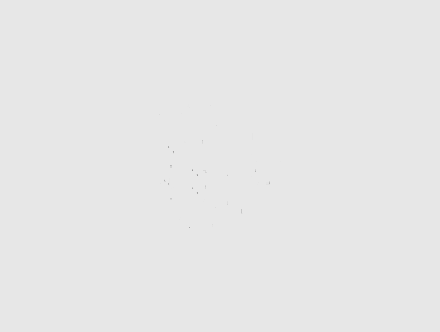 Cc1ccccc1Nc1nc2cccc(-c3cccc(C(F)(F)F)c3)n2n1